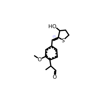 COc1cc(/C=C2\SCCC2O)ccc1C(C)C=O